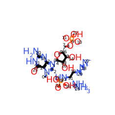 C[n+]1cn([C@@H]2O[C@H](COP(=O)([O-])O)[C@@H](O)[C@H]2O)c2nc(N)[nH]c(=O)c21.N.N.[N-]=[N+]=NCCNP(=O)(O)O